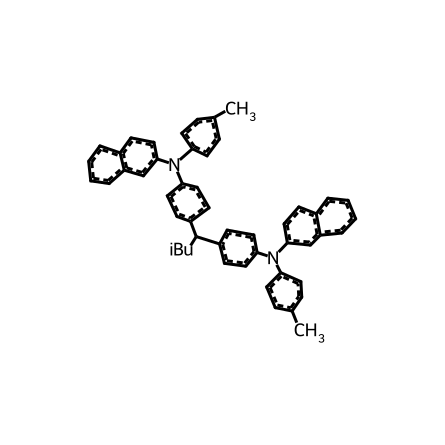 CCC(C)C(c1ccc(N(c2ccc(C)cc2)c2ccc3ccccc3c2)cc1)c1ccc(N(c2ccc(C)cc2)c2ccc3ccccc3c2)cc1